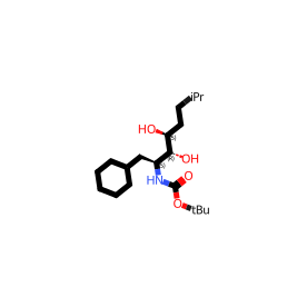 CC(C)CC[C@H](O)[C@H](O)[C@H](CC1CCCCC1)NC(=O)OC(C)(C)C